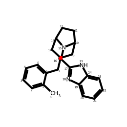 Cc1ccccc1CC1CC2CCC(C1)N2Cc1nc2ccccc2[nH]1